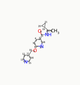 C[C@@H](NC(=O)c1ccc(OCc2ccncc2)nc1)C1CC1